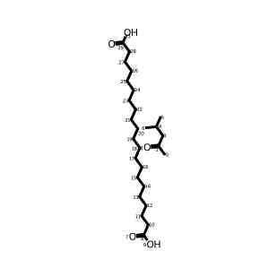 CC(=O)CC(C)C.O=C(O)CCCCCCCCCCCCCCCCCCCC(=O)O